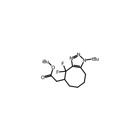 CCC(C)OC(=O)CC1CCCCc2c(nnn2C(C)(C)C)C1(F)F